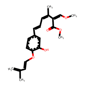 C=C(C)C=COc1ccc(C=CC=C(C)C(=COC)C(=O)OC)cc1O